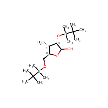 C[C@H]1[C@H](CO[Si](C)(C)C(C)(C)C)OC(O)[C@H]1O[Si](C)(C)C(C)(C)C